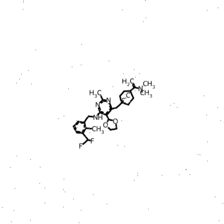 C=C(N(C)C)C12CCC(Cc3nc(C)nc(NCc4cccc(C(F)F)c4C)c3C3OCCO3)(CC1)CC2